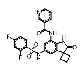 O=C(Nc1cc(NS(=O)(=O)c2ccc(F)cc2F)cc2c1NC(=O)C21CCC1)c1cccnc1